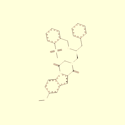 COc1ccc2c(c1)cc1n2C(=O)CN(C[C@H](Cc2ccccc2)NCc2ccccc2S(C)(=O)=O)C1=O